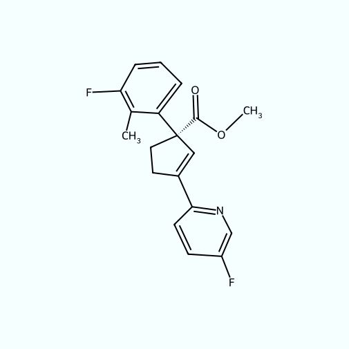 COC(=O)[C@]1(c2cccc(F)c2C)C=C(c2ccc(F)cn2)CC1